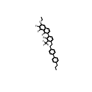 CCCc1ccc(-c2ccc(CCc3ccc(-c4ccc5cc(OCC)c(F)c(F)c5c4F)c(F)c3C(F)(F)F)cc2)cc1